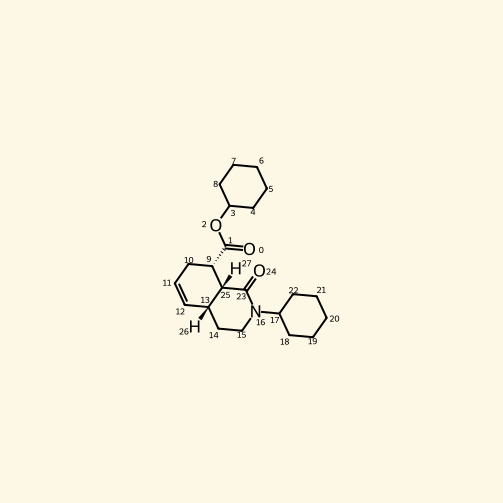 O=C(OC1CCCCC1)[C@H]1CC=C[C@H]2CCN(C3CCCCC3)C(=O)[C@@H]12